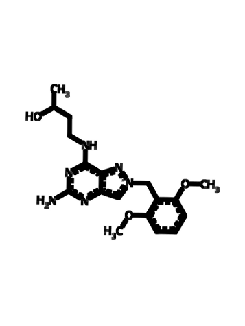 COc1cccc(OC)c1Cn1cc2nc(N)nc(NCCC(C)O)c2n1